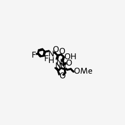 COCCCN1C(=O)c2c(O)c(=O)c(C(=O)NCc3ccc(F)cc3F)cn2N2C=C3COCCC312